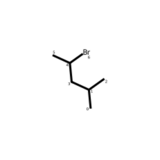 CC(C)CC(C)Br